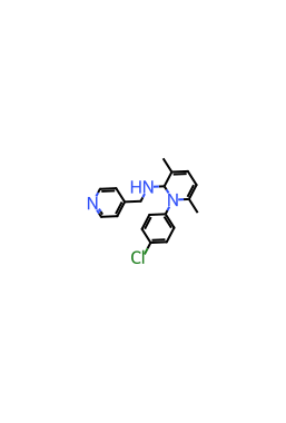 CC1=CC=C(C)N(c2ccc(Cl)cc2)C1NCc1ccncc1